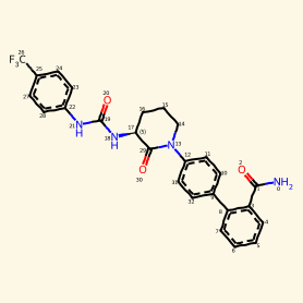 NC(=O)c1ccccc1-c1ccc(N2CCC[C@H](NC(=O)Nc3ccc(C(F)(F)F)cc3)C2=O)cc1